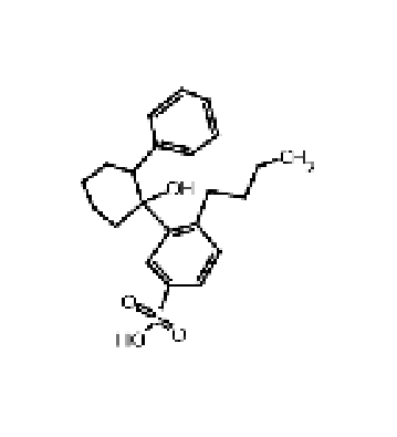 CCCCc1ccc(S(=O)(=O)O)cc1C1(O)CCCCC1c1ccccc1